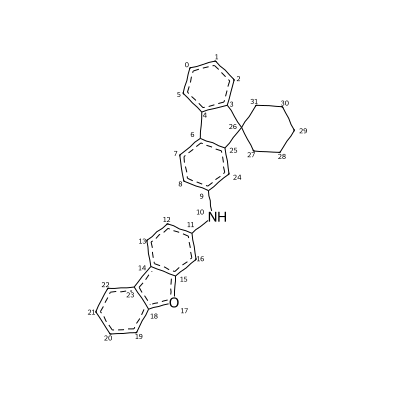 c1ccc2c(c1)-c1ccc(Nc3ccc4c(c3)oc3ccccc34)cc1C21CCCCC1